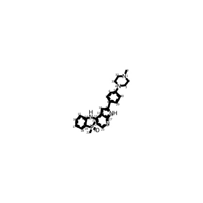 CN1CCN(c2ccc(-c3cc4c(Nc5ccccc5P(C)(C)=O)ccnc4[nH]3)cc2)CC1